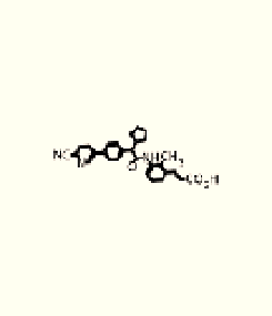 Cc1c(CCC(=O)O)cccc1NC(=O)C(c1ccc(-c2ccc(C#N)nc2)cc1)C1CCCC1